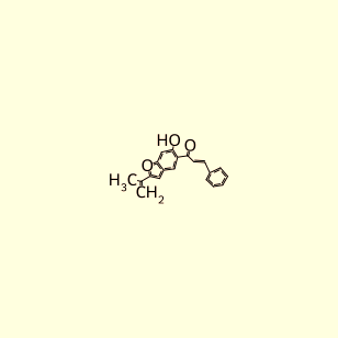 C=C(C)c1cc2cc(C(=O)C=Cc3ccccc3)c(O)cc2o1